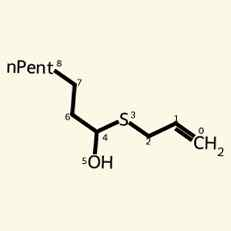 C=CCSC(O)CCCCCCC